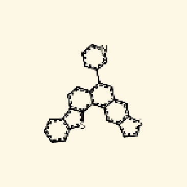 c1cncc(-c2cc3cc4sccc4cc3c3c2ccc2c4ccccc4sc23)c1